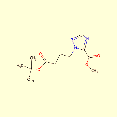 COC(=O)c1ncnn1CCCC(=O)OC(C)(C)C